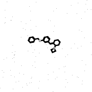 C(=C1CCCCC1N1CCC1)c1cccc(OCc2ccccc2)c1